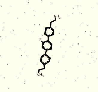 CCCc1ccc(-c2ccc(-c3ccc(CCN)cc3)c(F)c2)cc1